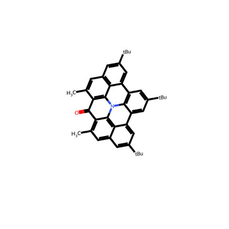 Cc1cc2cc(C(C)(C)C)cc3c4cc(C(C)(C)C)cc5c6cc(C(C)(C)C)cc7cc(C)c8c(=O)c1c(c23)n(c45)c8c76